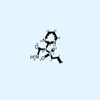 C=CCS(=O)(=O)N(C(N)=O)c1ncccn1